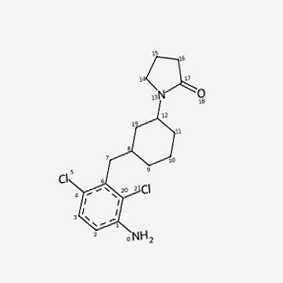 Nc1ccc(Cl)c(CC2CCCC(N3CCCC3=O)C2)c1Cl